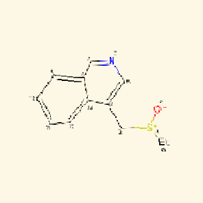 CC[S+]([O-])Cc1cncc2ccccc12